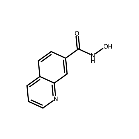 O=C(NO)c1ccc2cccnc2c1